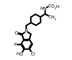 CC(NC(=O)O)C1CCC(CN2Cc3cc(Cl)c(O)c(F)c3C2=O)CC1